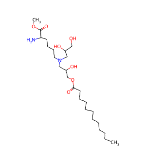 CCCCCCCCCCCC(=O)OCC(O)CN(CCCCC(N)C(=O)OC)CC(O)CO